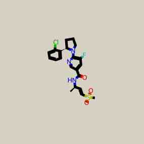 C[C@H](/C=C/S(C)(=O)=O)NC(=O)c1cnc(N2CCC[C@H]2c2ccccc2Cl)c(F)c1